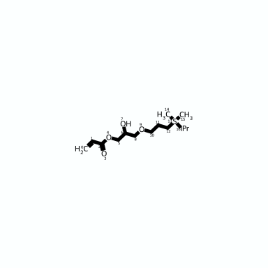 C=CC(=O)OCC(O)COCCCS(C)(C)C(C)C